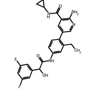 CCc1cc(NC(=O)C(O)c2cc(F)cc(F)c2)ccc1-c1cnc(N)c(C(=O)NC2CC2)c1